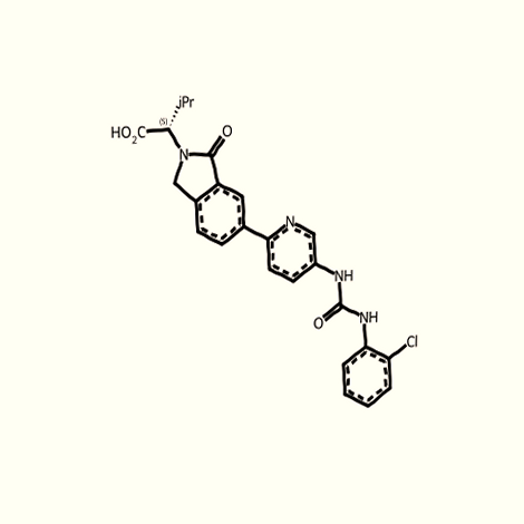 CC(C)[C@@H](C(=O)O)N1Cc2ccc(-c3ccc(NC(=O)Nc4ccccc4Cl)cn3)cc2C1=O